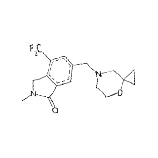 CN1Cc2c(cc(CN3CCOC4(CC4)C3)cc2C(F)(F)F)C1=O